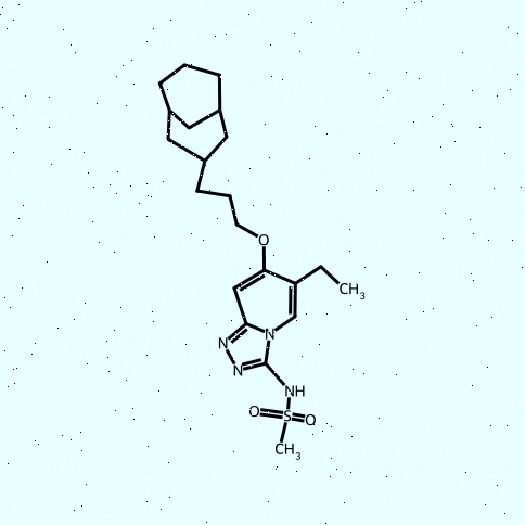 CCc1cn2c(NS(C)(=O)=O)nnc2cc1OCCCC1CC2CCCC(C1)C2